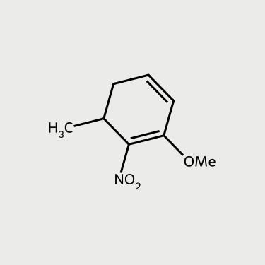 COC1=C([N+](=O)[O-])C(C)CC=C1